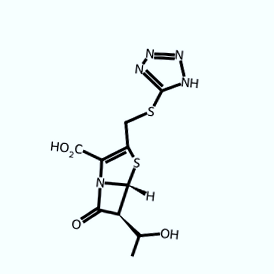 CC(O)[C@H]1C(=O)N2C(C(=O)O)=C(CSc3nnn[nH]3)S[C@H]12